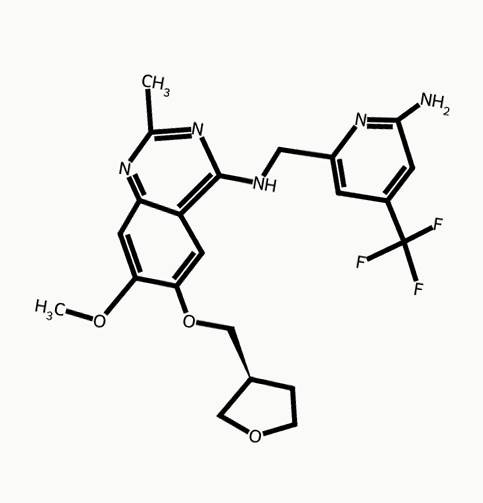 COc1cc2nc(C)nc(NCc3cc(C(F)(F)F)cc(N)n3)c2cc1OC[C@H]1CCOC1